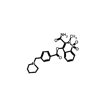 CN1C(C(N)=O)=C(OC(=O)c2ccc(CN3CCCCC3)cc2)c2ccccc2S1(=O)=O